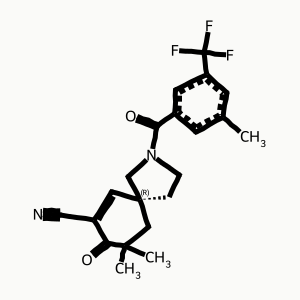 Cc1cc(C(=O)N2CC[C@]3(C=C(C#N)C(=O)C(C)(C)C3)C2)cc(C(F)(F)F)c1